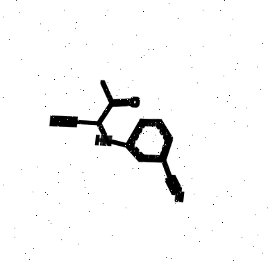 C#CC(Nc1cccc(C#N)c1)C(C)=O